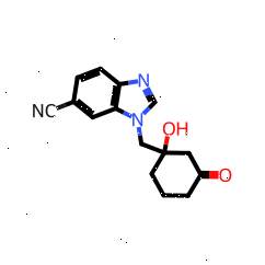 N#Cc1ccc2ncn(CC3(O)CCCC(=O)C3)c2c1